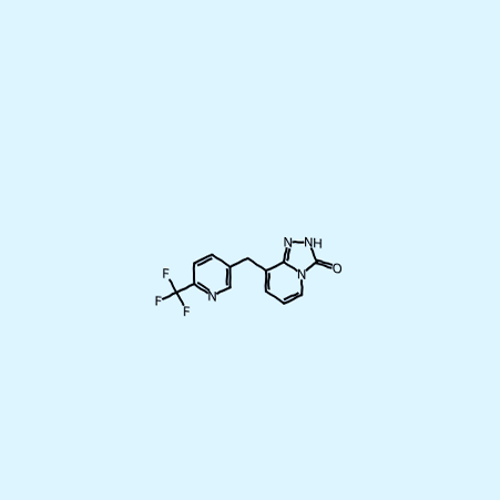 O=c1[nH]nc2c(Cc3ccc(C(F)(F)F)nc3)cccn12